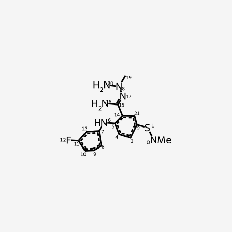 CNSc1ccc(Nc2cccc(F)c2)c(/C(N)=N/N(C)N)c1